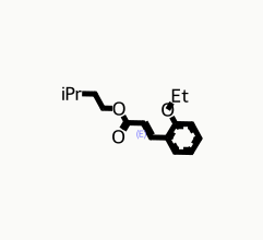 CCOc1ccccc1/C=C/C(=O)OCCC(C)C